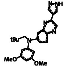 COc1cc(OC)cc(N(CC(C)(C)C)c2ccc3ncc(-c4cn[nH]c4)nc3c2)c1